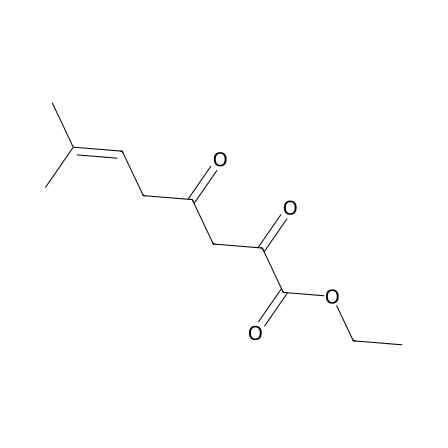 CCOC(=O)C(=O)CC(=O)CC=C(C)C